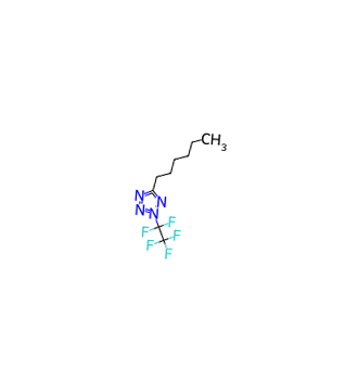 CCCCCCc1nnn(C(F)(F)C(F)(F)F)n1